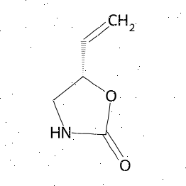 C=C[C@H]1CNC(=O)O1